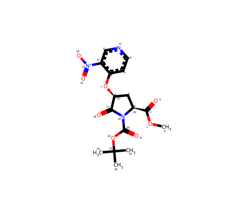 COC(=O)[C@@H]1C[C@H](Oc2ccncc2[N+](=O)[O-])C(=O)N1C(=O)OC(C)(C)C